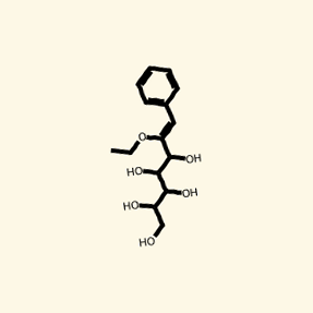 CCOC(=Cc1ccccc1)C(O)C(O)C(O)C(O)CO